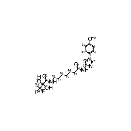 COc1ccc(-c2cnc(NC(=O)CCCCCCNC(=O)C(O)(O)C(F)(F)F)s2)cc1